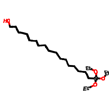 CCO[Si](CCCCCCCCCCCCCCCCCO)(OCC)OCC